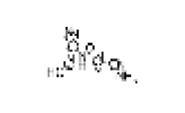 Cn1ncc2cc(N3CC[C@H](O)C3)c(NC(=O)c3coc(-c4ccnc(N)c4)n3)cc21